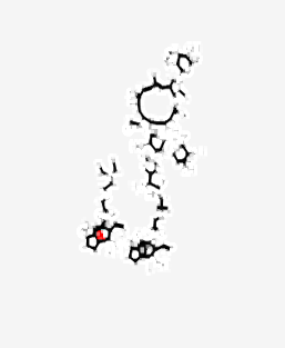 C=C[C@]1(C)C[C@@H](OC(=O)CSC(C)(C)CNC(=O)[C@H](N)C(C)C)[C@]2(C)[C@H](C)CC[C@]3(CCC(=O)[C@H]32)[C@@H](C)[C@@H]1O.C=C[C@]1(C)C[C@@H](OC(=O)CSCCN(CC)CC)[C@@]2(C)C(C)CC[C@]3(CCC(=O)[C@H]32)[C@@H](C)[C@@H]1O.CC[C@H]1OC(=O)C[C@@H](O)[C@H](C)[C@@H](O[C@@H]2O[C@H](C)[C@@H](O[C@H]3C[C@@](C)(O)[C@@H](O)[C@H](C)O3)[C@H](N(C)C)[C@H]2O)[C@@H](CC=O)C[C@@H](C)C(=O)/C=C/C(C)=C/C1CO[C@@H]1O[C@H](C)[C@@H](O)[C@@H](OC)[C@H]1OC